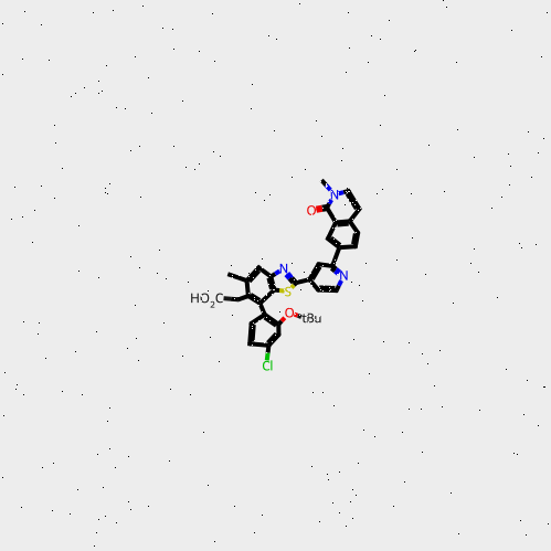 Cc1cc2nc(-c3ccnc(-c4ccc5ccn(C)c(=O)c5c4)c3)sc2c(-c2ccc(Cl)cc2OC(C)(C)C)c1CC(=O)O